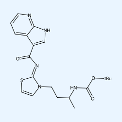 CC(CCn1ccs/c1=N\C(=O)c1c[nH]c2ncccc12)NC(=O)OC(C)(C)C